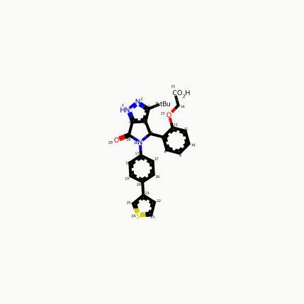 CC(C)(C)c1n[nH]c2c1C(c1ccccc1OCC(=O)O)N(c1ccc(-c3ccsc3)cc1)C2=O